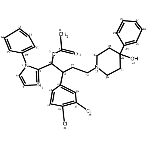 CC(=O)OC(c1nccn1-c1ccccc1)C(CCN1CCC(O)(c2ccccc2)CC1)c1ccc(Cl)c(Cl)c1